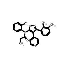 CCC(=O)N(c1ccccc1Cl)c1onc(-c2cccc(C)c2C)c1-c1ccncc1